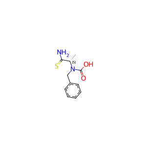 C[C@@H](C(N)=S)N(Cc1ccccc1)C(=O)O